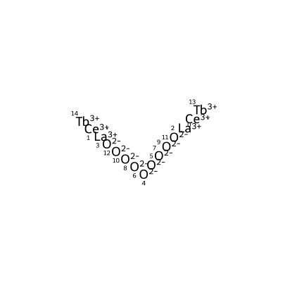 [Ce+3].[Ce+3].[La+3].[La+3].[O-2].[O-2].[O-2].[O-2].[O-2].[O-2].[O-2].[O-2].[O-2].[Tb+3].[Tb+3]